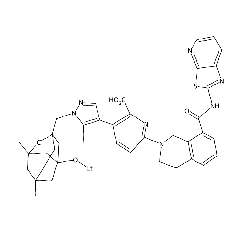 CCOC12CC3(C)CC(C)(CC(Cn4ncc(-c5ccc(N6CCc7cccc(C(=O)Nc8nc9cccnc9s8)c7C6)nc5C(=O)O)c4C)(C3)C1)C2